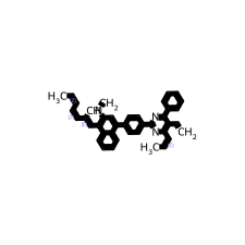 C=Cc1c(/C=C\C)nc(-c2ccc(-c3cc(N=C)c(/C=C(C)/C=C\C=C/C)c4ccccc34)cc2)nc1-c1ccccc1